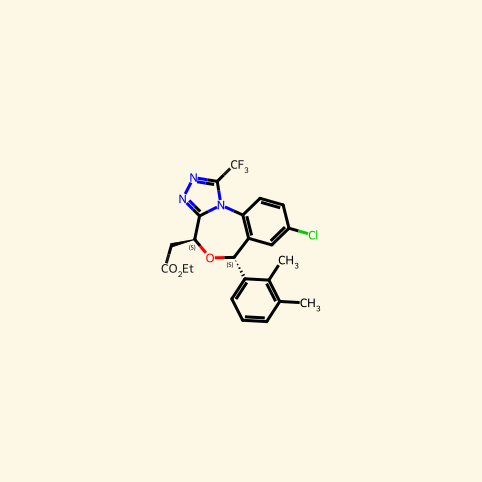 CCOC(=O)C[C@@H]1O[C@@H](c2cccc(C)c2C)c2cc(Cl)ccc2-n2c1nnc2C(F)(F)F